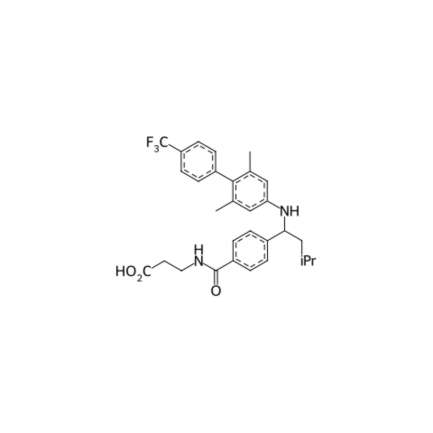 Cc1cc(NC(CC(C)C)c2ccc(C(=O)NCCC(=O)O)cc2)cc(C)c1-c1ccc(C(F)(F)F)cc1